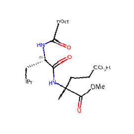 CCCCCCCCC(=O)N[C@@H](CC(C)C)C(=O)NC(C)(CCC(=O)O)C(=O)OC